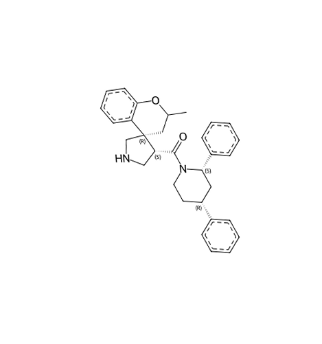 CC1C[C@]2(CNC[C@H]2C(=O)N2CC[C@@H](c3ccccc3)C[C@H]2c2ccccc2)c2ccccc2O1